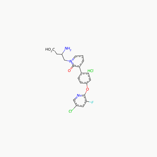 Cl.NC(CC(=O)O)Cn1cccc(-c2ccc(Oc3ncc(Cl)cc3F)cc2)c1=O